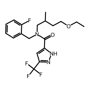 CCOCCC(C)CN(Cc1ccccc1F)C(=O)c1cc(C(F)(F)F)n[nH]1